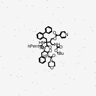 CCCCCC(=O)NC(Cc1ccccc1-c1ccccc1)(C(=O)NC(Cc1ccccc1)C(=O)NC(=O)N1CCOCC1)C(CNC(=O)OC(C)(C)C)COC(=O)c1ccncc1